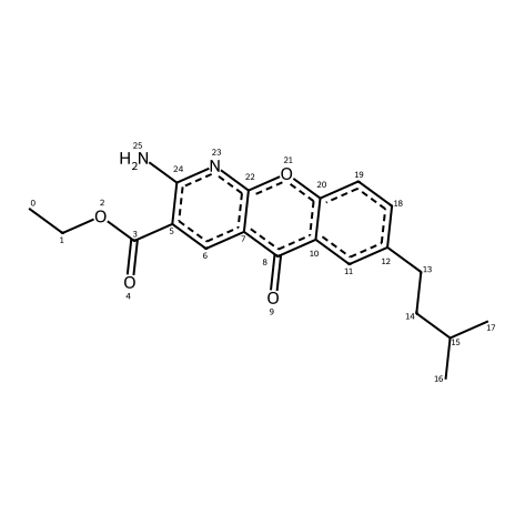 CCOC(=O)c1cc2c(=O)c3cc(CCC(C)C)ccc3oc2nc1N